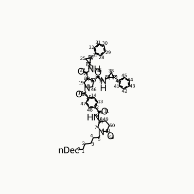 CCCCCCCCCCCCCCCN1C[C@@H](NC(=O)c2ccc(C(=O)N3C[C@@H](C(=O)N[C@H]4C[C@@H]4c4ccccc4)[C@H](C(=O)N[C@H]4C[C@@H]4c4ccccc4)C3)cc2)CCC1=O